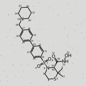 CC1(C)SCCN(S(=O)(=O)c2ccc(-c3ccc(CN4CCCCC4)cc3)cc2)[C@H]1C(=O)NO